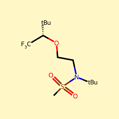 CC(C)(C)[C@H](OCCN(C(C)(C)C)S(C)(=O)=O)C(F)(F)F